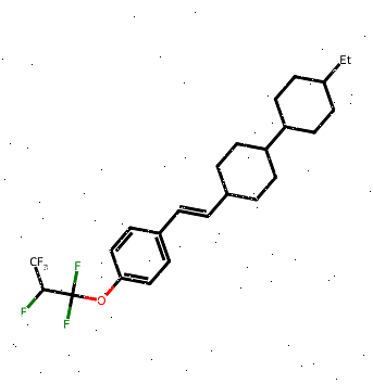 CCC1CCC(C2CCC(C=Cc3ccc(OC(F)(F)C(F)C(F)(F)F)cc3)CC2)CC1